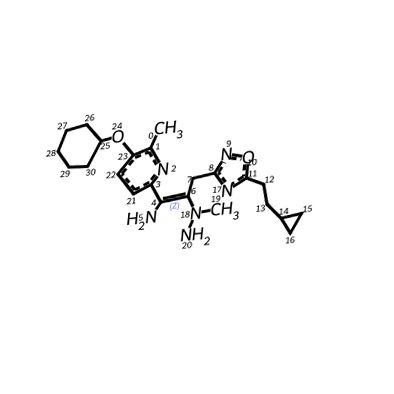 Cc1nc(/C(N)=C(\Cc2noc(CCC3CC3)n2)N(C)N)ccc1OC1CCCCC1